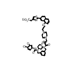 CCCCN1CCC(N(Cc2cccc(CNC(=O)CCN3CCN(CCOc4cccc5ccc(-c6nc(CC(=O)OCC)cs6)cc45)CC3)c2)C(=O)Nc2ccc(Cl)c(Cl)c2)CC1